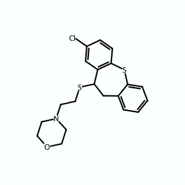 Clc1ccc2c(c1)C(SCCN1CCOCC1)Cc1ccccc1S2